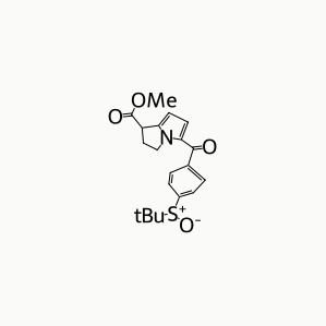 COC(=O)C1CCn2c(C(=O)c3ccc([S+]([O-])C(C)(C)C)cc3)ccc21